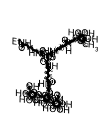 CCNC(=O)CCCCCNC(=O)CN(CC(=O)NCCCCCC(=O)NCCO[C@@H]1O[C@@H](C)[C@@H](O)[C@@H](O)[C@@H]1O)CC(=O)NCCCCCC(=O)NCCO[C@H]1O[C@H](CO[C@H]2O[C@H](CO)[C@@H](O)[C@H](O)[C@@H]2O)[C@@H](O)[C@H](O[C@H]2O[C@H](CO)[C@@H](O)[C@H](O)[C@@H]2O)[C@@H]1O